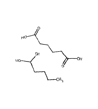 CCCCC(O)O.O=C(O)CCCCC(=O)O